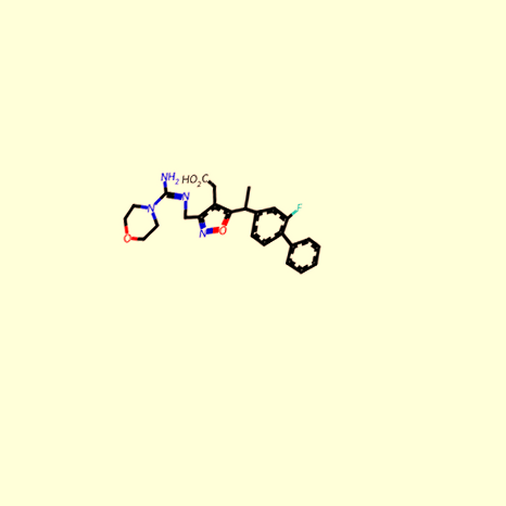 CC(c1ccc(-c2ccccc2)c(F)c1)c1onc(CN=C(N)N2CCOCC2)c1CC(=O)O